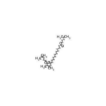 CC(C)CCCOC(=O)CCCCCCCCCCCCCCC(C)C(C)C(=O)OCCCC(C)C